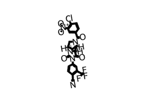 N#Cc1ccc(N2C(=O)[C@H]3[C@@H]4C[C@@H](CN4C(=O)c4ccc(Cl)c([N+](=O)[O-])c4)N3C2=O)cc1C(F)(F)F